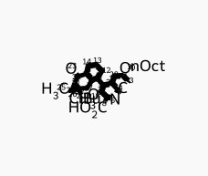 CCCCCCCCOc1ccc2nc(C(=O)O)cc(-c3cccc4c3C(=O)C3(C(C)CC)C(C4=O)C3(C)C)c2c1